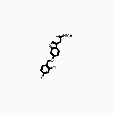 CNC(=O)Cc1csc2cc(OCc3ccc(Cl)cc3Cl)ccc12